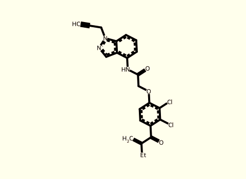 C#CCn1ncc2c(NC(=O)COc3ccc(C(=O)C(=C)CC)c(Cl)c3Cl)cccc21